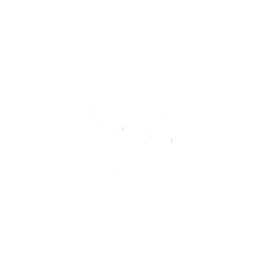 CC(C)(C)c1cc(CN(CC2CCCCC2)C(C)(C)C)c(O)c(-c2ccc(C(F)(F)F)nc2)c1.Cl